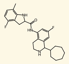 Cc1ccc(F)c2c1NC(C(=O)Nc1cc(F)cc3c1CCNC3C1CCCCCC1)C2